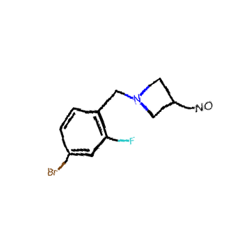 O=NC1CN(Cc2ccc(Br)cc2F)C1